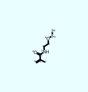 C=C(C)C(=O)NCCOSI